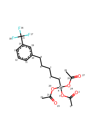 CC(=O)O[Si](CCCCCc1cccc(C(F)(F)F)c1)(OC(C)=O)OC(C)=O